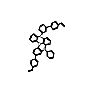 C=Cc1ccc(-c2cccc(N3c4ccccc4B4c5ccc(-c6ccc(C=C)cc6)cc5N(c5ccccc5)c5cccc3c54)c2)cc1